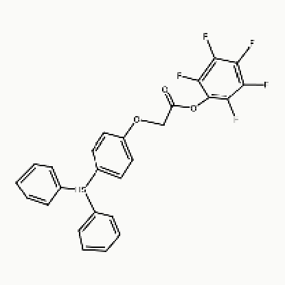 O=C(COc1ccc([SH](c2ccccc2)c2ccccc2)cc1)Oc1c(F)c(F)c(F)c(F)c1F